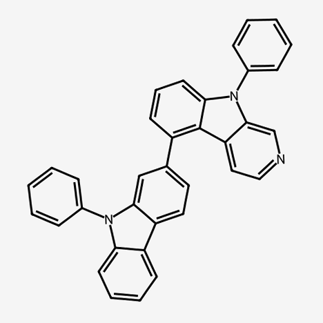 c1ccc(-n2c3ccccc3c3ccc(-c4cccc5c4c4ccncc4n5-c4ccccc4)cc32)cc1